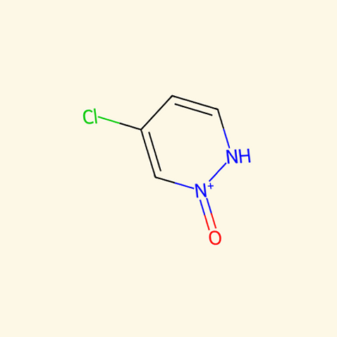 O=[n+]1cc(Cl)cc[nH]1